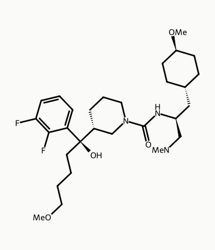 CNC[C@H](C[C@H]1CC[C@H](OC)CC1)NC(=O)N1CCC[C@@H]([C@](O)(CCCCOC)c2cccc(F)c2F)C1